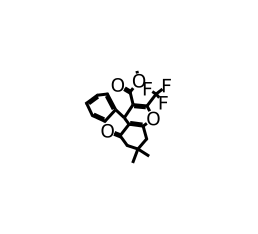 COC(=O)C1=C(C(F)(F)F)OC2=C(C(=O)CC(C)(C)C2)C1c1ccccc1